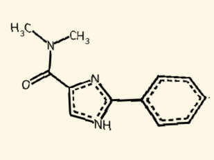 CN(C)C(=O)c1c[nH]c(-c2cc[c]cc2)n1